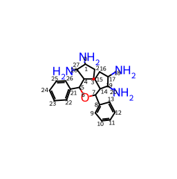 NC1CCC(C(OC(c2ccccc2)C2CCC(N)C2N)c2ccccc2)C1N